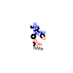 CNCC(O)COc1cccc(-c2nc(NC3CCOCC3)c(C=N)c(NC3CC3)n2)c1